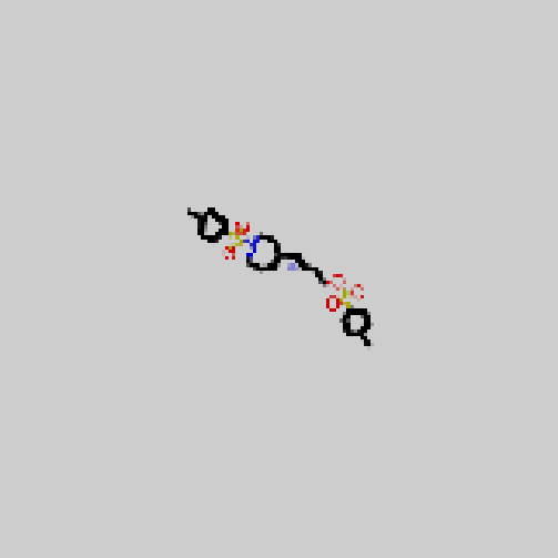 Cc1ccc(S(=O)(=O)OCC/C=C/C2=CCCN(S(=O)(=O)c3ccc(C)cc3)CC2)cc1